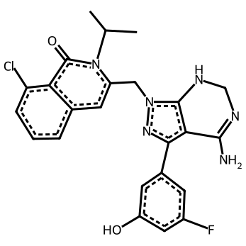 CC(C)n1c(Cn2nc(-c3cc(O)cc(F)c3)c3c2NCN=C3N)cc2cccc(Cl)c2c1=O